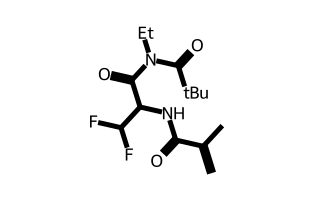 C=C(C)C(=O)NC(C(=O)N(CC)C(=O)C(C)(C)C)C(F)F